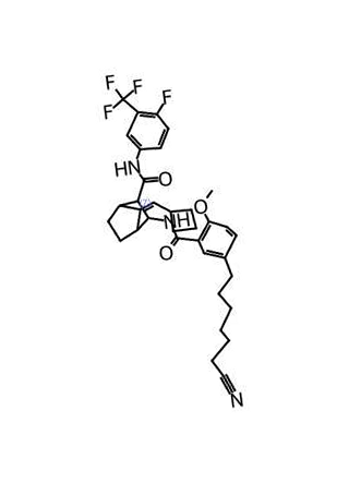 COc1ccc(CCCCCCC#N)cc1C(=O)NC1C2CCC(/C2=C/C2CCC2)C1C(=O)Nc1ccc(F)c(C(F)(F)F)c1